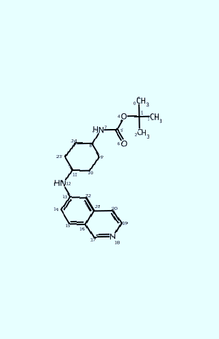 CC(C)(C)OC(=O)NC1CCC(Nc2ccc3cnccc3c2)CC1